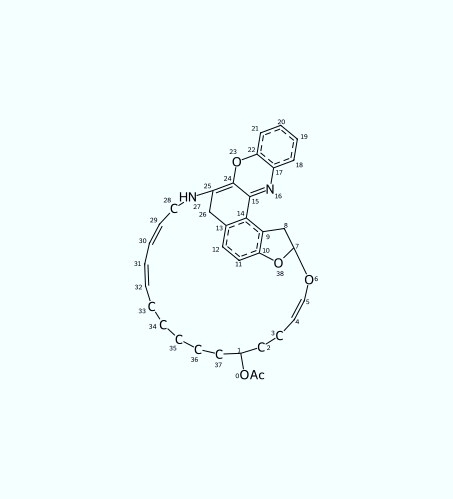 CC(=O)OC1CCC=COC2Cc3c(ccc4c3C3=Nc5ccccc5OC3=C(C4)NCC=CC=CCCCCC1)O2